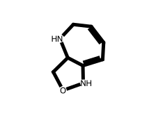 C1=CCNC2CONC2=C1